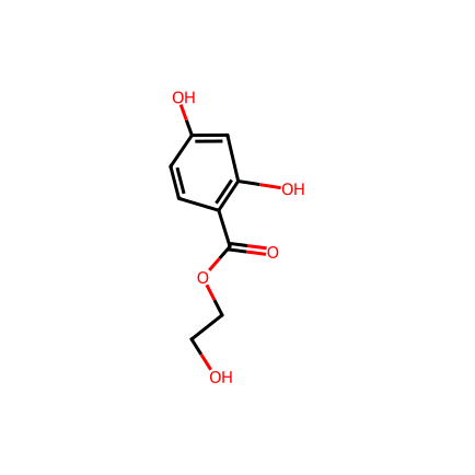 O=C(OCCO)c1ccc(O)cc1O